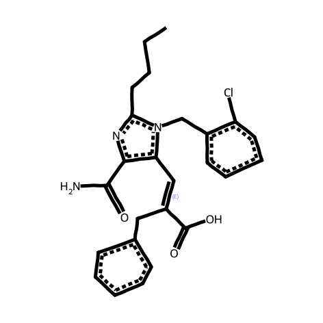 CCCCc1nc(C(N)=O)c(/C=C(\Cc2ccccc2)C(=O)O)n1Cc1ccccc1Cl